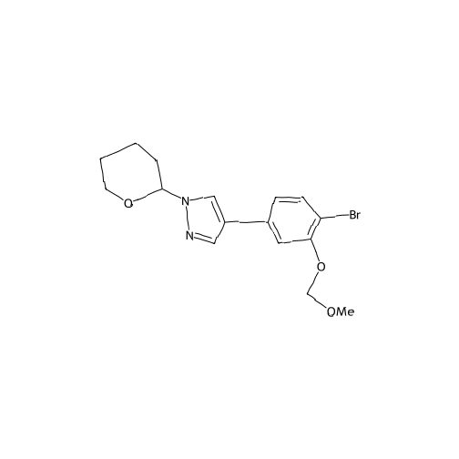 COCOc1cc(-c2cnn(C3CCCCO3)c2)ccc1Br